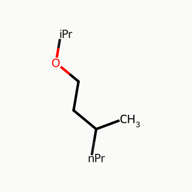 CCCC(C)CCOC(C)C